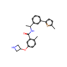 Cc1ccc(-c2cccc(C(C)NC(=O)c3cc(OC4CNC4)ccc3C)c2)s1